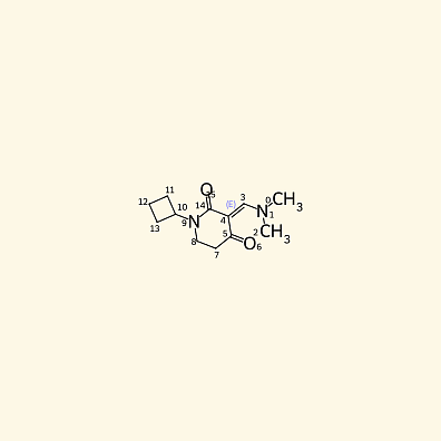 CN(C)/C=C1\C(=O)CCN(C2CCC2)C1=O